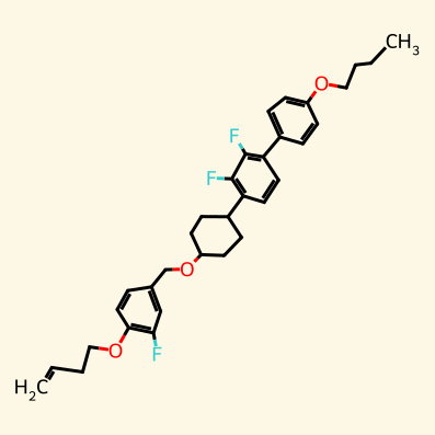 C=CCCOc1ccc(COC2CCC(c3ccc(-c4ccc(OCCCC)cc4)c(F)c3F)CC2)cc1F